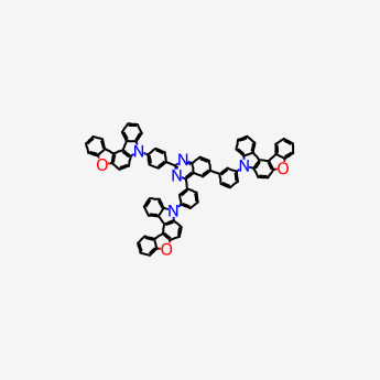 c1cc(-c2ccc3nc(-c4ccc(-n5c6ccccc6c6c7c(ccc65)oc5ccccc57)cc4)nc(-c4cccc(-n5c6ccccc6c6c7c(ccc65)oc5ccccc57)c4)c3c2)cc(-n2c3ccccc3c3c4c(ccc32)oc2ccccc24)c1